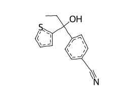 CCC(O)(c1ccc(C#N)cc1)c1cccs1